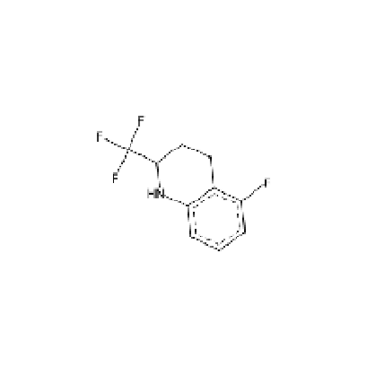 Fc1cccc2c1CCC(C(F)(F)F)N2